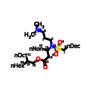 CCCCCCCCCCCS(=O)(=O)N(CCCN(C)C)C(CCCCCCCCC)CC(=O)OCC(CCCCCC)CCCCCCCC